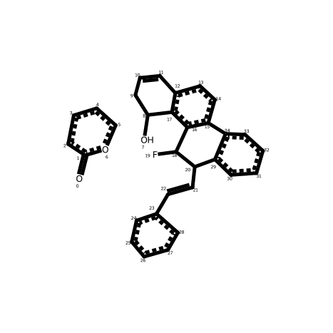 O=c1cccco1.OC1CC=Cc2ccc3c(c21)C(F)C(/C=C/c1ccccc1)c1ccccc1-3